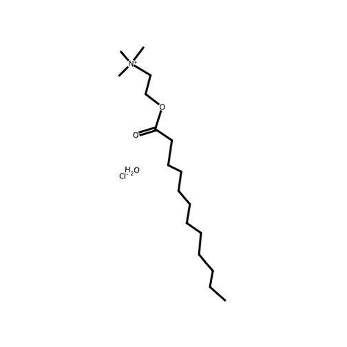 CCCCCCCCCCCC(=O)OCC[N+](C)(C)C.O.[Cl-]